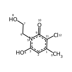 Cc1cc(O)n(CCO)c(=O)c1Cl